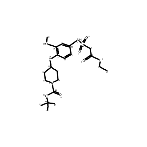 CCOC(=O)CS(=O)(=O)Nc1ccc(OC2CCN(C(=O)OC(C)(C)C)CC2)c(OC)c1